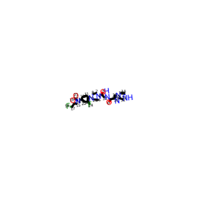 O=C(NCC(=O)N1CCN(c2ccc(N3CC(CF)OC3=O)cc2F)CC1)c1cn2c(n1)CNC=C2